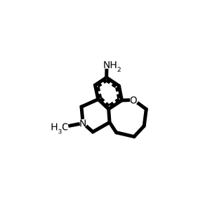 CN1Cc2cc(N)cc3c2C(CCCCO3)C1